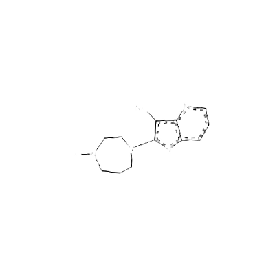 CN1CCCN(c2[nH]c3cccnc3c2C#N)CC1